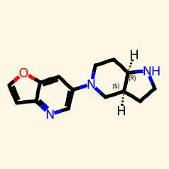 c1cc2ncc(N3CC[C@H]4NCC[C@H]4C3)cc2o1